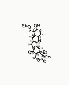 CCOCc1c(O)ccc2nc3c(cc12)Cn1c-3cc2c(c1=O)COC(=O)C2(O)CC